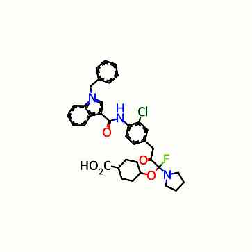 O=C(Nc1ccc(CC(=O)C(F)(OC2CCC(C(=O)O)CC2)N2CCCC2)cc1Cl)c1cn(Cc2ccccc2)c2ccccc12